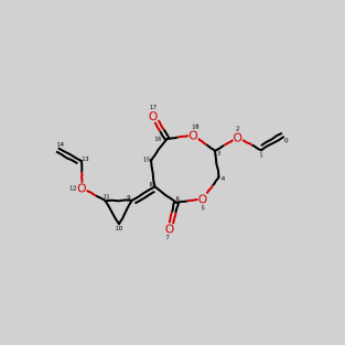 C=COC1COC(=O)C(=C2CC2OC=C)CC(=O)O1